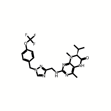 Cc1nc(NCc2ncn(Cc3ccc(OC(F)(F)F)cc3)n2)nc2c1NC(=O)[C@H](C(C)C)N2C